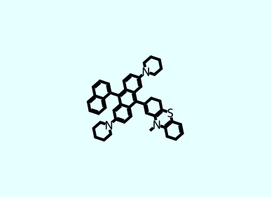 CN1C2=C(CCC(c3c4cc(N5CCCCC5)ccc4c(-c4cccc5ccccc45)c4cc(N5CCCCC5)ccc34)=C2)SC2=C1CCC=C2